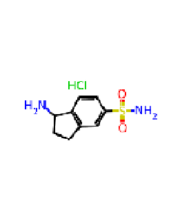 Cl.NC1CCc2cc(S(N)(=O)=O)ccc21